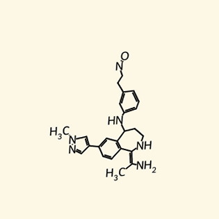 C/C(N)=C1/NCCC(Nc2cccc(CCN=O)c2)c2cc(-c3cnn(C)c3)ccc21